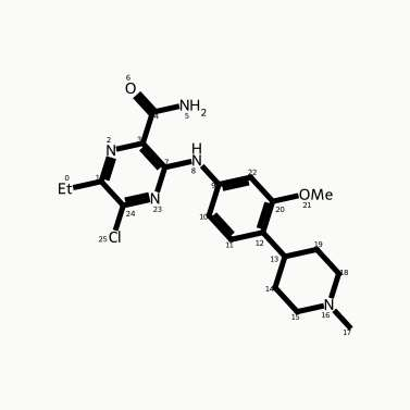 CCc1nc(C(N)=O)c(Nc2ccc(C3CCN(C)CC3)c(OC)c2)nc1Cl